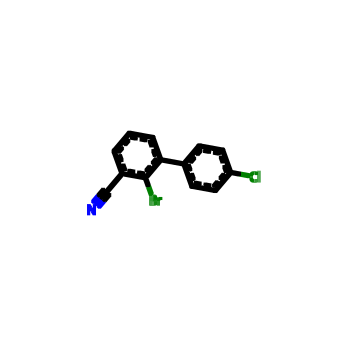 N#Cc1cccc(-c2ccc(Cl)cc2)c1Br